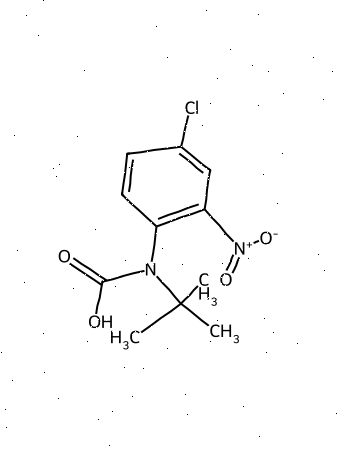 CC(C)(C)N(C(=O)O)c1ccc(Cl)cc1[N+](=O)[O-]